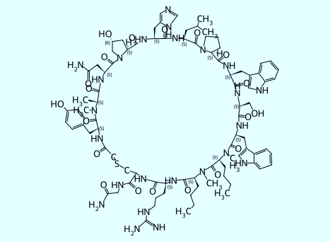 CCCC[C@H]1C(=O)N(C)[C@@H](CCCC)C(=O)N[C@@H](CCCNC(=N)N)C(=O)NC(C(=O)NCC(N)=O)CSCC(=O)N[C@@H](Cc2ccc(O)cc2)C(=O)N(C)[C@@H](C)C(=O)N[C@@H](CC(N)=O)C(=O)N2C[C@H](O)C[C@H]2C(=O)N[C@@H](Cc2cnc[nH]2)C(=O)N[C@@H](CC(C)C)C(=O)N2CCC[C@H]2C(=O)N[C@@H](Cc2c[nH]c3ccccc23)C(=O)N[C@@H](CO)C(=O)N[C@@H](Cc2c[nH]c3ccccc23)C(=O)N1C